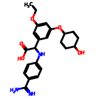 CCOc1cc(OC2CCC(O)CC2)cc(C(Nc2ccc(C(=N)N)cc2)C(=O)O)c1